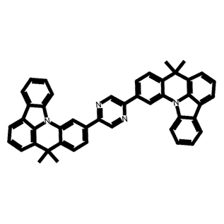 CC1(C)c2ccc(-c3cnc(-c4ccc5c(c4)-n4c6ccccc6c6cccc(c64)C5(C)C)cn3)cc2-n2c3ccccc3c3cccc1c32